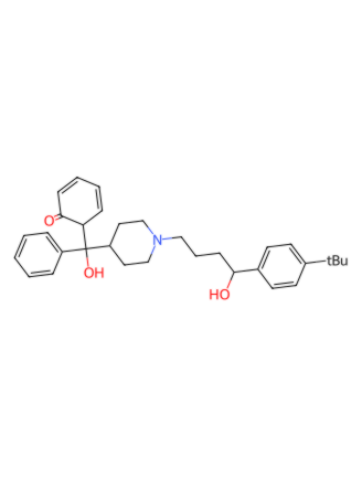 CC(C)(C)c1ccc(C(O)CCCN2CCC(C(O)(c3ccccc3)C3C=CC=CC3=O)CC2)cc1